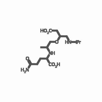 CC(C)NCC(CC(=O)O)OCC(C)NC(CCC(N)=O)C(=O)O